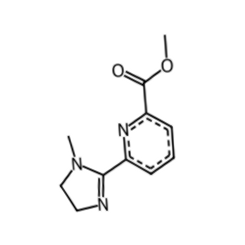 COC(=O)c1cccc(C2=NCCN2C)n1